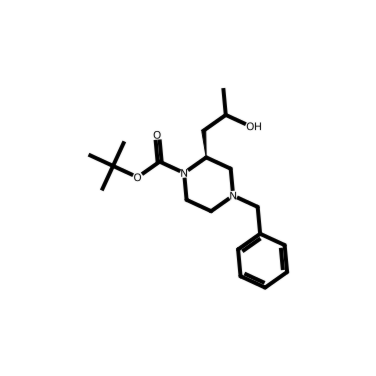 CC(O)C[C@H]1CN(Cc2ccccc2)CCN1C(=O)OC(C)(C)C